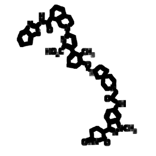 Cc1c(OC[C@@H]2CCC3(CCN(CC(=O)Nc4ccc5c(C6CCC(=O)NC6=O)nn(C)c5c4)CC3)C2)cccc1-c1ccc(N2CCc3cccc(C(=O)Nc4nc5ccccc5s4)c3C2)nc1C(=O)O